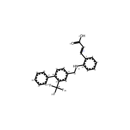 O=C(O)/C=C/c1ccccc1NCc1ccc(-c2ccccc2)c(C(F)(F)F)c1